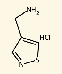 Cl.NCc1cnsc1